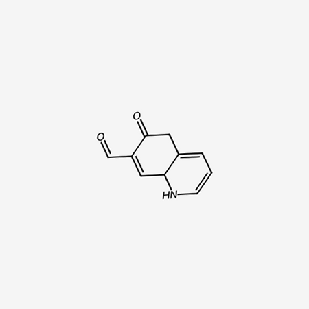 O=CC1=CC2NC=CC=C2CC1=O